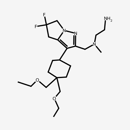 CCOCC1(COCC)CCC(c2c(CN(C)CCN)nn3c2CC(F)(F)C3)CC1